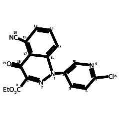 CCOC(=O)c1nn(-c2ccc(Cl)nc2)c2cccc(C#N)c2c1=O